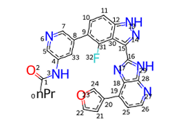 CCCC(=O)Nc1cncc(-c2ccc3[nH]nc(-c4nc5c(-c6ccoc6)ccnc5[nH]4)c3c2F)c1